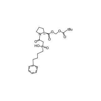 CC(C)(C)C(=O)OCOC(=O)[C@@H]1CCCN1C(=O)CP(=O)(O)CCCCc1ccccc1